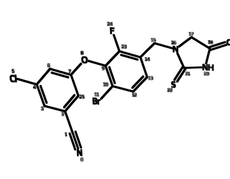 N#Cc1cc(Cl)cc(Oc2c(Br)ccc(CN3CC(=O)NC3=S)c2F)c1